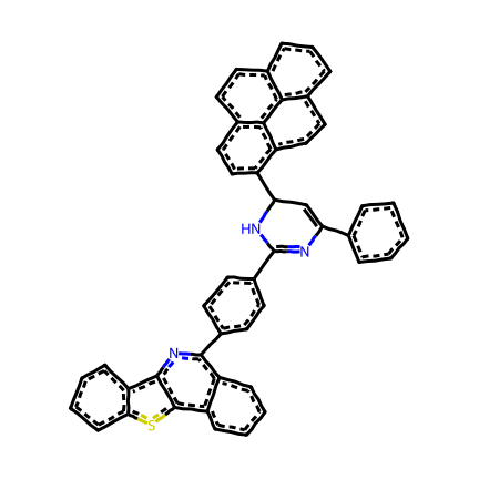 C1=C(c2ccccc2)N=C(c2ccc(-c3nc4c5ccccc5sc4c4ccccc34)cc2)NC1c1ccc2ccc3cccc4ccc1c2c34